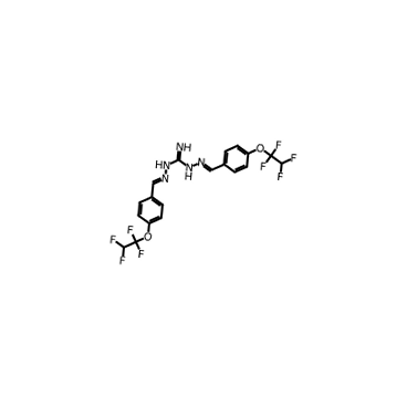 N=C(N/N=C/c1ccc(OC(F)(F)C(F)F)cc1)N/N=C/c1ccc(OC(F)(F)C(F)F)cc1